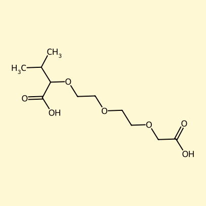 CC(C)C(OCCOCCOCC(=O)O)C(=O)O